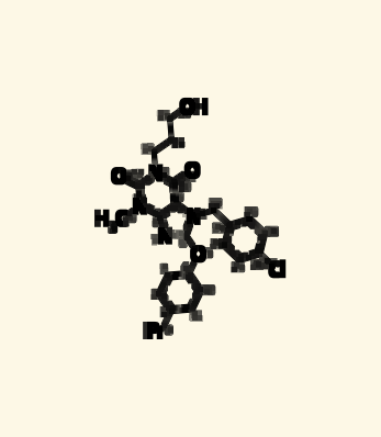 CC(C)c1ccc(Oc2nc3c(c(=O)n(CCCO)c(=O)n3C)n2Cc2ccc(Cl)cc2)cc1